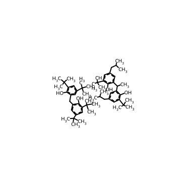 CC(C)(C)c1cc(Cc2cc(C(C)(C)C)cc(C(C)(C)C)c2O)c(O)c(C(C)(C)C)c1.CC(C)Cc1cc(C(C)c2cc(CC(C)C)cc(C(C)(C)C)c2O)c(O)c(C(C)(C)C)c1